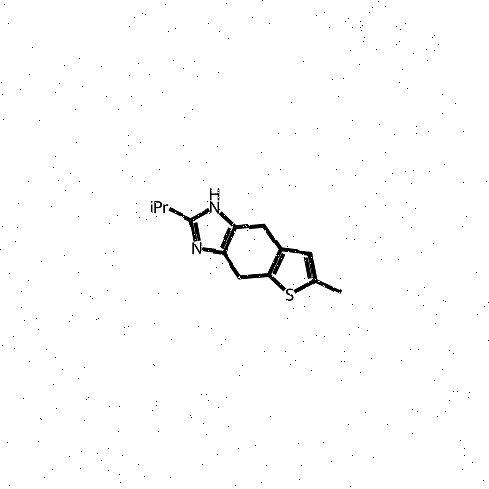 Cc1cc2c(s1)Cc1nc(C(C)C)[nH]c1C2